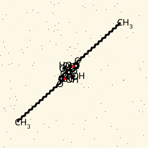 CCCCCCCCCCCCCCCCCCCCCCCCOc1ccc(Oc2c(C(=O)O)c(C(=O)O)c(Oc3ccc(OCCCCCCCCCCCCCCCCCCCCCCCC)cc3)c(C(=O)O)c2C(=O)O)cc1